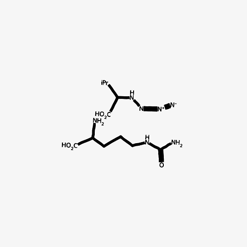 CC(C)C(NN=[N+]=[N-])C(=O)O.NC(=O)NCCCC(N)C(=O)O